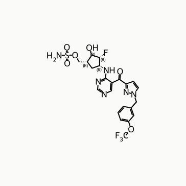 NS(=O)(=O)OC[C@H]1C[C@@H](Nc2ncncc2C(=O)c2ccn(Cc3cccc(OC(F)(F)F)c3)n2)[C@@H](F)[C@@H]1O